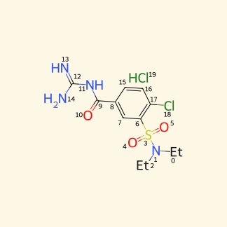 CCN(CC)S(=O)(=O)c1cc(C(=O)NC(=N)N)ccc1Cl.Cl